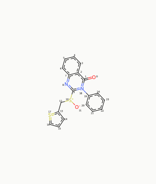 O=c1c2ccccc2nc([S+]([O-])Cc2cccs2)n1-c1ccccc1